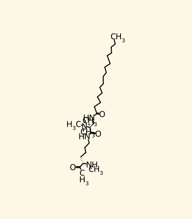 CCCCCCCCCCCCCCCC(=O)NC[C@@H](C(=O)NCCCC[C@H](NC)C(C)=O)[N+](C)(C)C